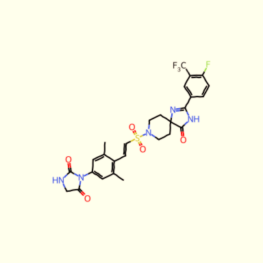 Cc1cc(N2C(=O)CNC2=O)cc(C)c1/C=C/S(=O)(=O)N1CCC2(CC1)N=C(c1ccc(F)c(C(F)(F)F)c1)NC2=O